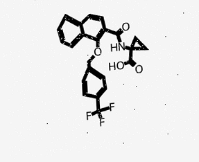 O=C(NC1(C(=O)O)CC1)c1ccc2ccccc2c1OCc1ccc(C(F)(F)F)cc1